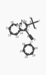 C#Cc1c(C(C)(C)C)nn2ccccc12.c1ccccc1